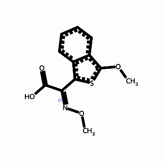 CO/N=C(/C(=O)O)c1sc(OC)c2ccccc12